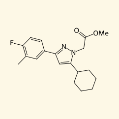 COC(=O)Cn1nc(-c2ccc(F)c(C)c2)cc1C1CCCCC1